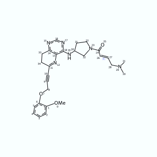 COc1ccccc1OCC#CC1=Nc2c(ncnc2NC2CCN(C(=O)/C=C/CN(C)C)C2)CC1